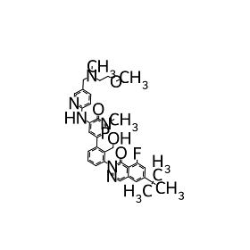 COCCN(C)Cc1ccc(Nc2cc(-c3cccc(-n4ncc5cc(C(C)(C)C)cc(F)c5c4=O)c3CO)pn(C)c2=O)nc1